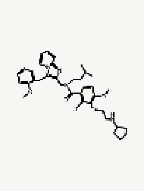 COc1ccccc1Cc1c(CN(CCC(C)C)C(=O)c2ccc(OC)c(OCCNC3CCCC3)c2Cl)nc2ccccn12